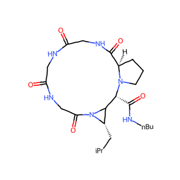 CCCCNC(=O)[C@@H]1C2[C@H](CC(C)C)N2C(=O)CNC(=O)CNC(=O)CNC(=O)[C@H]2CCCN21